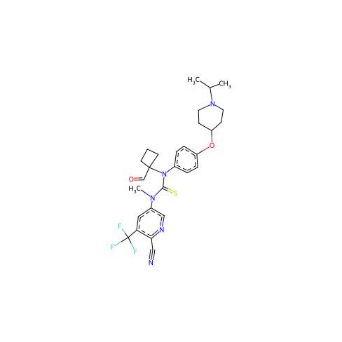 CC(C)N1CCC(Oc2ccc(N(C(=S)N(C)c3cnc(C#N)c(C(F)(F)F)c3)C3(C=O)CCC3)cc2)CC1